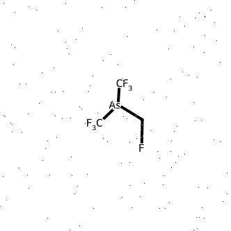 FC[As](C(F)(F)F)C(F)(F)F